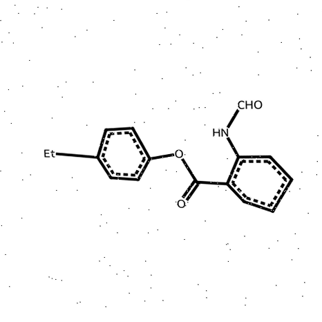 CCc1ccc(OC(=O)c2ccccc2NC=O)cc1